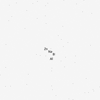 [Al].[B].[Na].[Zn]